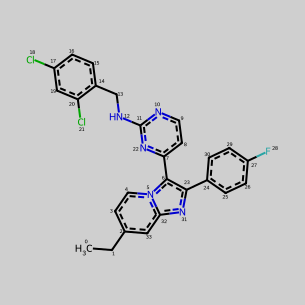 CCc1ccn2c(-c3ccnc(NCc4ccc(Cl)cc4Cl)n3)c(-c3ccc(F)cc3)nc2c1